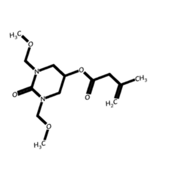 C=C(C)CC(=O)OC1CN(COC)C(=O)N(COC)C1